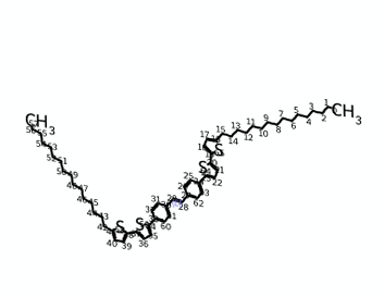 CCCCCCCCCCCCCCCCc1ccc(-c2ccc(-c3ccc(/C=C/c4ccc(-c5ccc(-c6ccc(CCCCCCCCCCCCCCCC)s6)s5)cc4)cc3)s2)s1